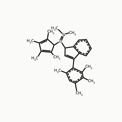 CC1=C(C)[CH]([Zr]([CH]2C=C(c3c(C)cc(C)c(C)c3C)c3ccccc32)=[Si](C)C)C(C)=C1C